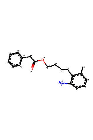 Cc1cccc(N)c1CCCCOC(=O)Cc1ccccc1